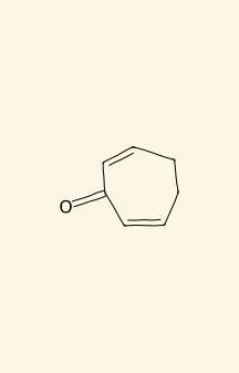 O=C1C=CCCC=C1